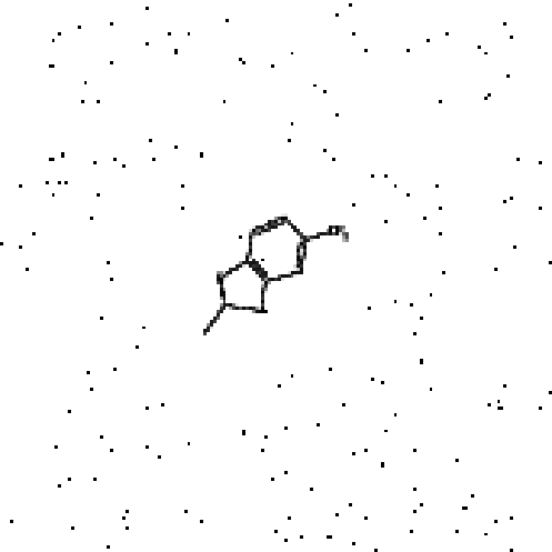 C[C]1Cc2cc(C(F)(F)F)ccc2S1